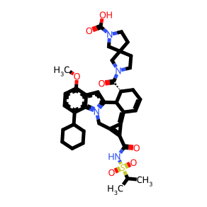 COc1ccc(C2CCCCC2)c2c1cc1n2CC2=C(C(=O)NS(=O)(=O)C(C)C)C2=C2C=CC[C@@H](C(=O)N3CCC4(CCN(C(=O)O)C4)C3)C21